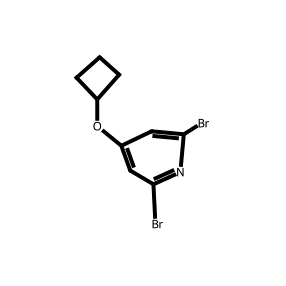 Brc1cc(OC2CCC2)cc(Br)n1